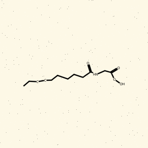 CCCCCCCCCC(=O)NCC(=O)OO